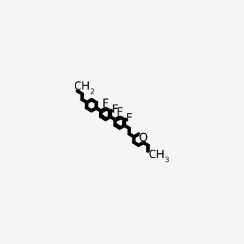 C=CCCC1CCC(c2ccc(-c3ccc(CCC4CCC(CCC)OC4)c(F)c3F)c(F)c2F)CC1